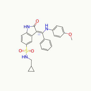 COc1ccc(N/C(=C2\C(=O)Nc3ccc(S(=O)(=O)NCC4CC4)cc32)c2ccccc2)cc1